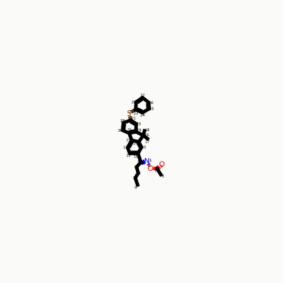 CCCCC(=NOC(C)=O)c1ccc2c(c1)C(C)(C)c1cc(Sc3ccccc3)ccc1-2